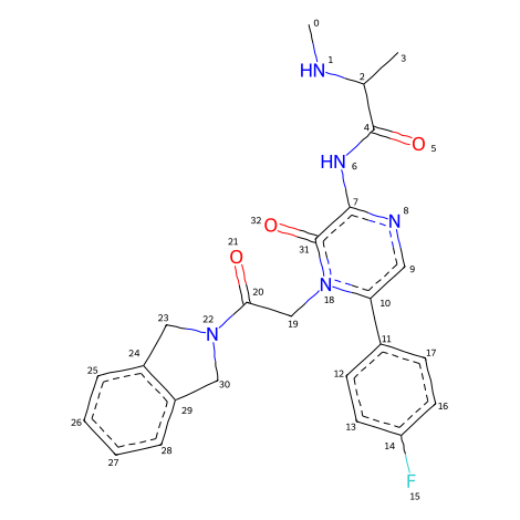 CNC(C)C(=O)Nc1ncc(-c2ccc(F)cc2)n(CC(=O)N2Cc3ccccc3C2)c1=O